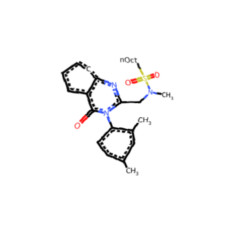 CCCCCCCCS(=O)(=O)N(C)Cc1nc2ccccc2c(=O)n1-c1ccc(C)cc1C